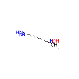 CC(CCCCCCCCCCCCCCc1c[nH]nn1)=NO